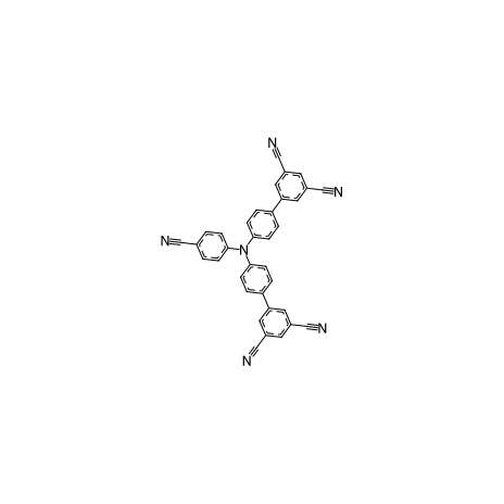 N#Cc1ccc(N(c2ccc(-c3cc(C#N)cc(C#N)c3)cc2)c2ccc(-c3cc(C#N)cc(C#N)c3)cc2)cc1